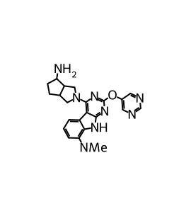 CNc1cccc2c1[nH]c1nc(Oc3cncnc3)nc(N3CC4CCC(N)C4C3)c12